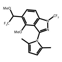 COc1c(C(OC)C(F)(F)F)ccc2c1c(-n1c(C)ccc1C)nn2C(F)(F)F